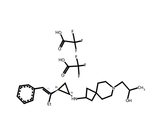 CC/C(=C\c1ccccc1)[C@H]1C[C@@H]1NC1CC2(CCN(CC(C)O)CC2)C1.O=C(O)C(F)(F)F.O=C(O)C(F)(F)F